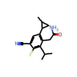 CC(C)c1c(F)c(C#N)cc(C2CC2C)c1CC(N)=O